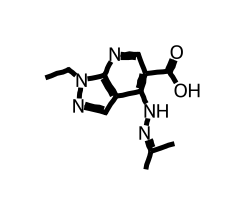 CCn1ncc2c(NN=C(C)C)c(C(=O)O)cnc21